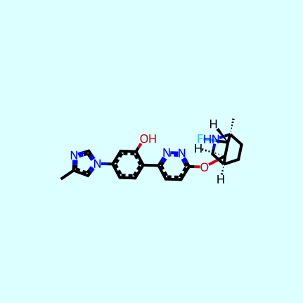 Cc1cn(-c2ccc(-c3ccc(O[C@@H]4[C@H]5CC[C@](C)(NC5)[C@H]4F)nn3)c(O)c2)cn1